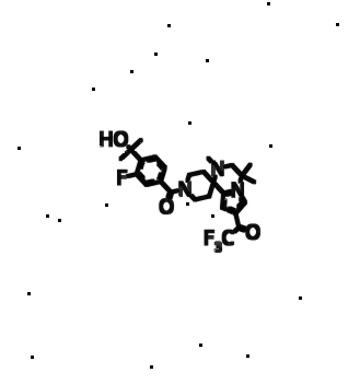 CN1CC(C)(C)n2cc(C(=O)C(F)(F)F)cc2C12CCN(C(=O)c1ccc(C(C)(C)O)c(F)c1)CC2